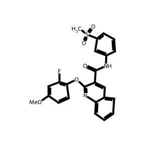 COc1ccc(Oc2nc3ccccc3cc2C(=O)Nc2cccc(S(C)(=O)=O)c2)c(F)c1